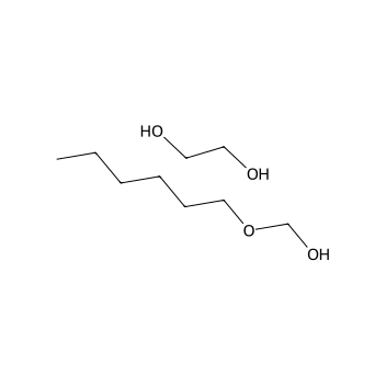 CCCCCCOCO.OCCO